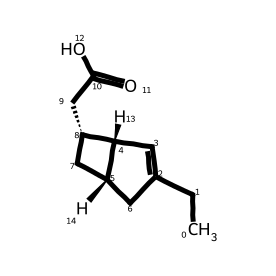 CCC1=C[C@@H]2[C@H](C1)C[C@@H]2CC(=O)O